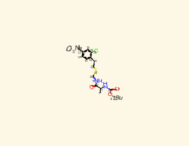 CC(NC(=O)OC(C)(C)C)C(=O)NCSCCc1ccc([N+](=O)[O-])cc1Cl